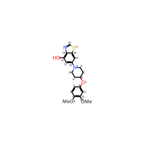 COc1ccc(OC2CCN(c3cc(O)c4ncsc4c3)CC2)cc1OC